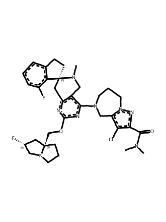 CN(C)C(=O)c1nn2c(c1Cl)CN(c1nc(OC[C@@]34CCCN3C[C@H](F)C4)nc3c1CN(C)[C@@]1(CCc4cccc(F)c41)C3)CCC2